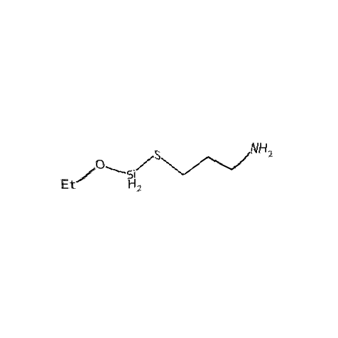 CCO[SiH2]SCCCN